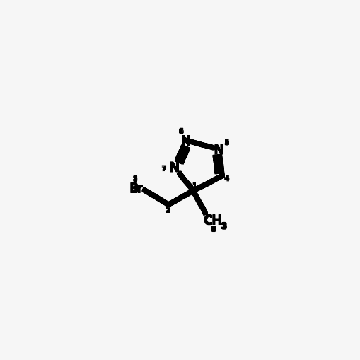 CC1(CBr)C=NN=N1